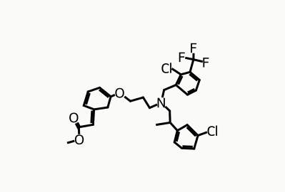 COC(=O)C=C1C=CC=C(OCCCN(Cc2cccc(C(F)(F)F)c2Cl)CC(C)c2cccc(Cl)c2)C1